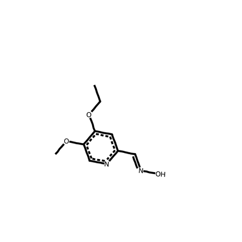 CCOc1cc(/C=N/O)ncc1OC